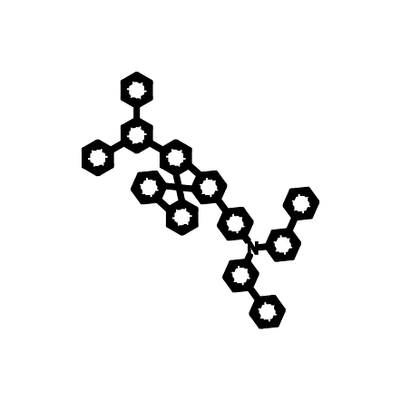 c1ccc(-c2cc(-c3ccccc3)cc(-c3ccc4c(c3)C3(c5ccccc5-c5ccccc53)c3cc(-c5ccc(N(c6cccc(-c7ccccc7)c6)c6cccc(-c7ccccc7)c6)cc5)ccc3-4)c2)cc1